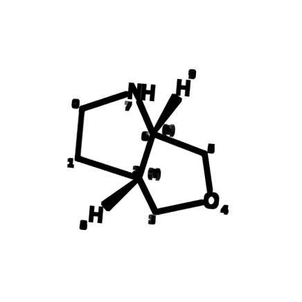 C1C[C@H]2COC[C@H]2N1